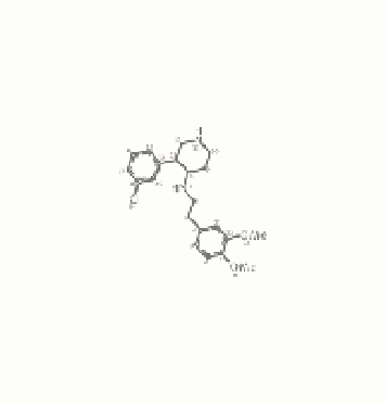 COc1ccc(CCNC2CCNCC2c2cccc(Cl)c2)cc1OC